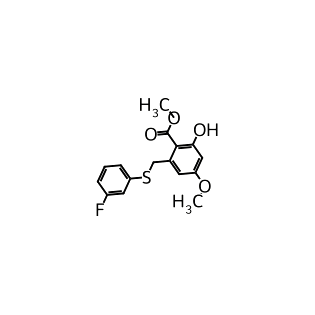 COC(=O)c1c(O)cc(OC)cc1CSc1cccc(F)c1